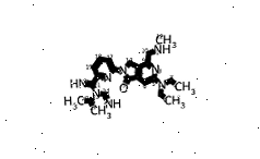 CCN(CC)c1cc2c(c(CNC)n1)CN(c1cccc(C(=N)N(C=N)C(C)C)n1)C2=O